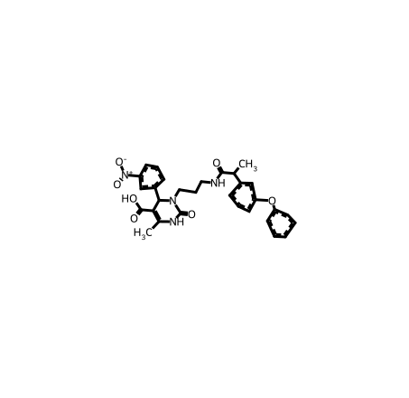 CC1=C(C(=O)O)C(c2cccc([N+](=O)[O-])c2)N(CCCNC(=O)C(C)c2cccc(Oc3ccccc3)c2)C(=O)N1